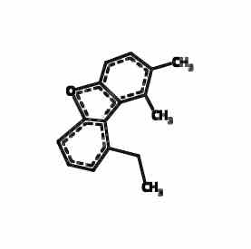 CCc1cccc2oc3ccc(C)c(C)c3c12